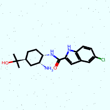 CC(C)(O)[C@H]1CC[C@H](NC(=O)c2cc3cc(Cl)ccc3[nH]2)[C@H](N)C1